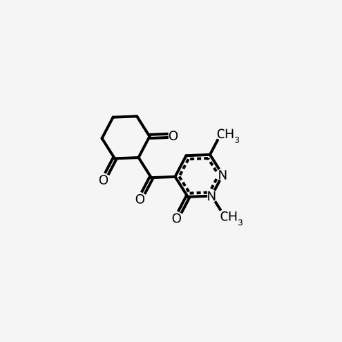 Cc1cc(C(=O)C2C(=O)CCCC2=O)c(=O)n(C)n1